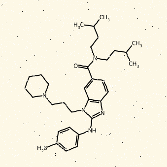 Bc1ccc(Nc2nc3ccc(C(=O)N(CCC(C)C)CCC(C)C)cc3n2CCCN2CCCCC2)cc1